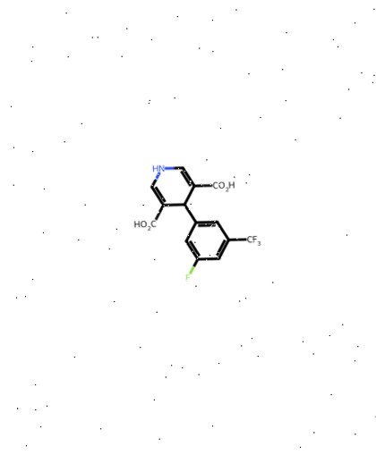 O=C(O)C1=CNC=C(C(=O)O)C1c1cc(F)cc(C(F)(F)F)c1